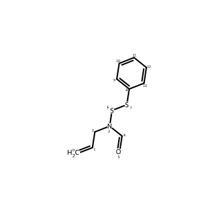 C=CCN(C=O)SSc1ccccc1